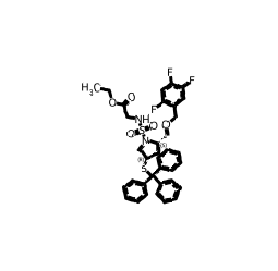 CCOC(=O)CNS(=O)(=O)N1C[C@H](SC(c2ccccc2)(c2ccccc2)c2ccccc2)C[C@H]1COCc1cc(F)c(F)cc1F